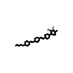 CCCCCC1CCC(/C=C/C2C=CC(/C=C/C3CCC(c4ccc(C)c(F)c4F)CC3)CC2)CC1